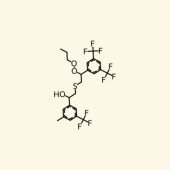 CCCOOC(CSCC(O)c1cc(C)cc(C(F)(F)F)c1)c1cc(C(F)(F)F)cc(C(F)(F)F)c1